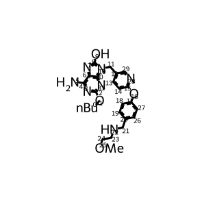 CCCCOc1nc(N)c2nc(O)n(Cc3ccc(Oc4ccc(CNCCOC)cc4)nc3)c2n1